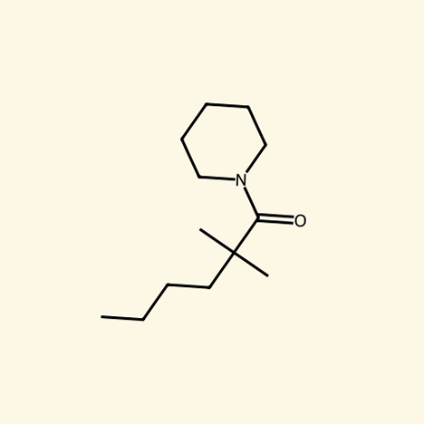 CCCCC(C)(C)C(=O)N1CCCCC1